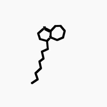 CCCCCCCCC1CCN=C2CCCCCN21